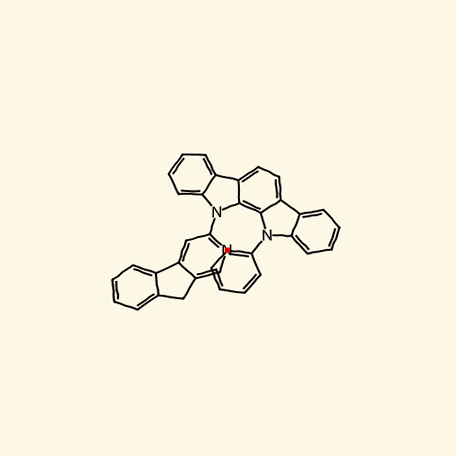 c1ccc(-n2c3ccccc3c3ccc4c5ccccc5n(-c5cc6c(cn5)Cc5ccccc5-6)c4c32)cc1